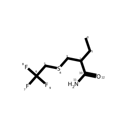 CCC(CSCC(F)(F)F)C(N)=O